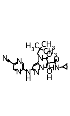 CC(C)(C)Cn1c(=O)c(C(=O)NC2CC2)c(O)n2nc(Nc3cnc(C#N)cn3)cc12